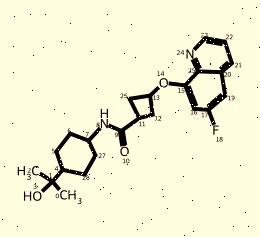 CC(C)(O)C1CCC(NC(=O)C2CC(Oc3cc(F)cc4cccnc34)C2)CC1